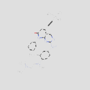 Cc1cc(Nc2ncc3c(C#C[Si](C(C)C)(C(C)C)C(C)C)cc(=O)n(-c4ccccc4)c3n2)ccc1N(C)CCN(C)C